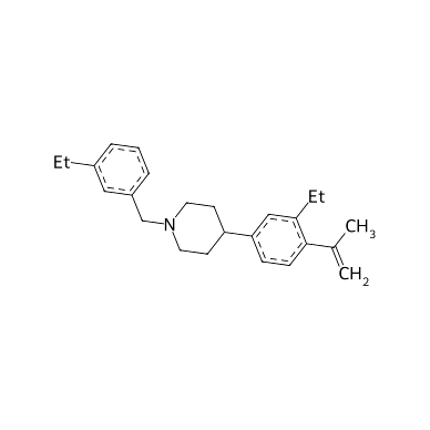 C=C(C)c1ccc(C2CCN(Cc3cccc(CC)c3)CC2)cc1CC